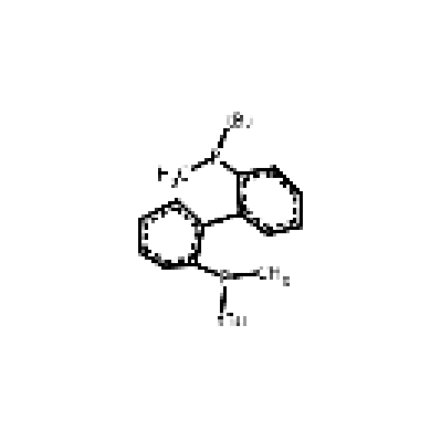 CP(c1ccccc1-c1ccccc1P(C)C(C)(C)C)C(C)(C)C